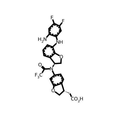 Nc1cc(F)c(F)cc1Nc1cccc2c1OC[C@H]2N(C(=O)C(F)(F)F)c1ccc2c(c1)OC[C@H]2CC(=O)O